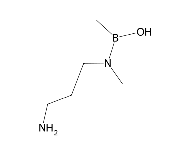 CB(O)N(C)CCCN